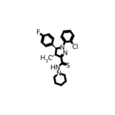 C[C@H]1C(C(=S)NN2CCCCC2)=NN(c2ccccc2Cl)[C@@H]1c1ccc(F)cc1